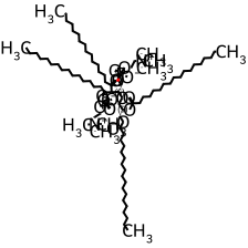 CCCCCCCCCCCCCCCCCC(=O)OC[C@H](CO[C@@H](COP(=O)([O-])OCC[N+](C)(C)C)C(OP(=O)([O-])OCC[N+](C)(C)C)(C(=O)CCCCCCCCCCCCCCC)C(=O)CCCCCCCCCCCCCCC)OC(=O)CCCCCCCCCCCCCCCCC